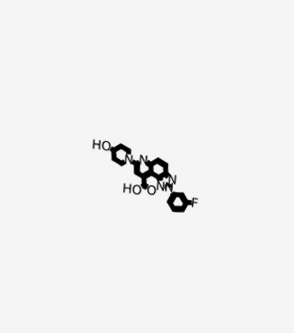 O=C(O)c1cc(N2CCC(O)CC2)nc2ccc3nn(-c4cccc(F)c4)nc3c12